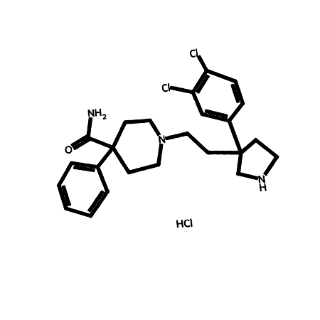 Cl.NC(=O)C1(c2ccccc2)CCN(CCC2(c3ccc(Cl)c(Cl)c3)CCNC2)CC1